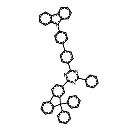 c1ccc(-c2nc(-c3ccc(-c4ccc(-n5c6ccccc6c6ccccc65)cc4)cc3)nc(-c3ccc4c(c3)C(c3ccccc3)(c3ccccc3)c3ccccc3-4)n2)cc1